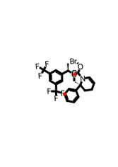 C[C@@H](OC[C@@]1(c2ccccc2)CCC=CN1C(=O)OBr)c1cc(C(F)(F)F)cc(C(F)(F)F)c1